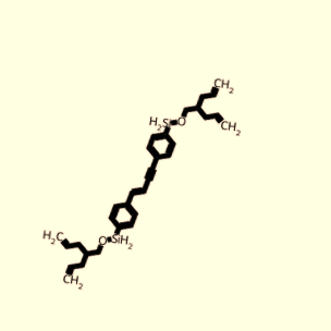 C=CCC(CC=C)CO[SiH2]c1ccc(C#CC=Cc2ccc([SiH2]OCC(CC=C)CC=C)cc2)cc1